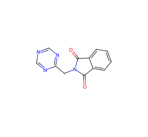 O=C1c2ccccc2C(=O)N1[CH]c1ncncn1